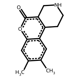 Cc1cc2oc(=O)c3c(c2cc1C)CCNC3